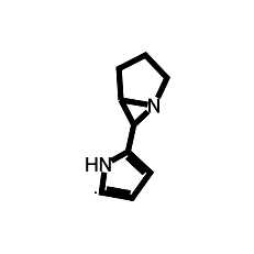 [c]1ccc(C2C3CCCN32)[nH]1